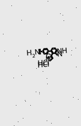 CC(C)(N)c1ccc(-c2ccc3[nH]ncc3c2-c2ccno2)cc1.Cl.Cl